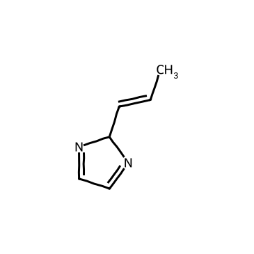 CC=CC1N=CC=N1